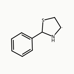 [CH]1CSC(c2ccccc2)N1